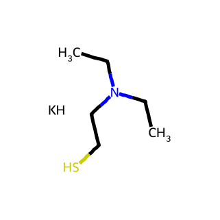 CCN(CC)CCS.[KH]